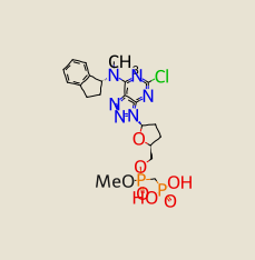 COP(=O)(CP(=O)(O)O)OC[C@@H]1CC[C@H](n2nnc3c(N(C)[C@@H]4CCc5ccccc54)nc(Cl)nc32)O1